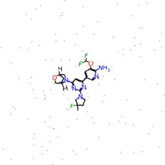 CC1(F)CCN(c2nc(-c3cnc(N)c(OC(F)F)c3)cc(N3C[C@@H]4C[C@H]3CO4)n2)C1